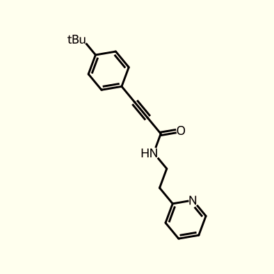 CC(C)(C)c1ccc(C#CC(=O)NCCc2ccccn2)cc1